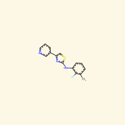 Fc1c(Nc2nc(-c3cccnc3)cs2)cccc1C(F)(F)F